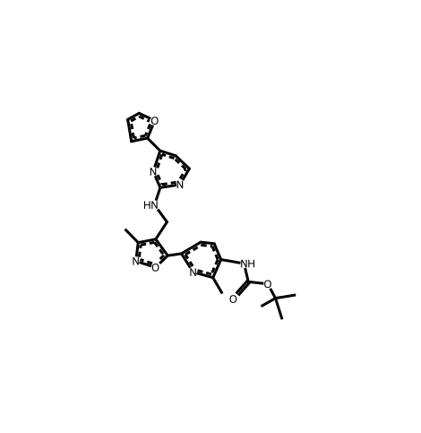 Cc1nc(-c2onc(C)c2CNc2nccc(-c3ccco3)n2)ccc1NC(=O)OC(C)(C)C